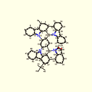 Cc1cc2c3c4c1c1ccccc1n4-c1cc4c(cc1B3n1c3ccccc3c3cccc-2c31)B1c2c(cc(C(C)(C)C)c3c5ccccc5n-4c23)-c2cccc3c4ccccc4n1c23